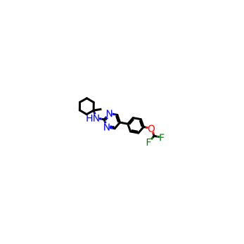 CC1(Nc2ncc(-c3ccc(OC(F)F)cc3)cn2)CCCCC1